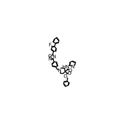 O=C(Nc1ccccn1)C1(C(=O)OCc2ccccc2)CCN(Cc2ccc(-c3noc(-c4ccc(-c5ccccc5)c(F)c4)n3)cc2)CC1